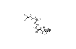 CC(C)=CCCC(C)=CCCC(C)=CC[N+](C)(C)[O-]